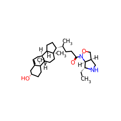 CC[C@H]1NC[C@@H]2CON(C(=O)CCC(C)[C@H]3CC[C@H]4[C@@H]5CC=C6C[C@@H](O)CC[C@]6(C)[C@H]5CC[C@]34C)[C@@H]21